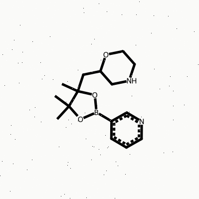 CC1(C)OB(c2cccnc2)OC1(C)CC1CNCCO1